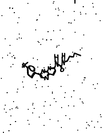 CCCCCNC(=O)Nc1ccc2ncc(-c3ccc([Si](C)(C)C)o3)nc2n1